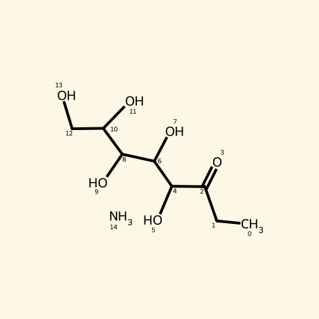 CCC(=O)C(O)C(O)C(O)C(O)CO.N